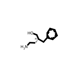 NCC[C@H](CO)Cc1ccccc1